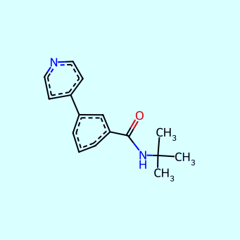 CC(C)(C)NC(=O)c1cccc(-c2ccncc2)c1